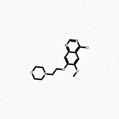 COc1cc2c(Cl)ncnc2cc1OCCN1CCOCC1